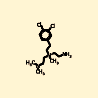 CN(C)CC[N+](C)(CCN)CCc1ccc(Cl)c(Cl)c1